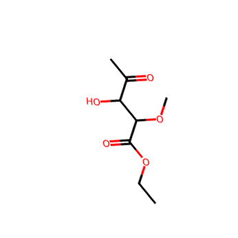 CCOC(=O)C(OC)C(O)C(C)=O